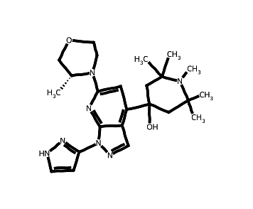 C[C@@H]1COCCN1c1cc(C2(O)CC(C)(C)N(C)C(C)(C)C2)c2cnn(-c3cc[nH]n3)c2n1